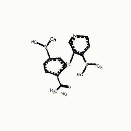 CC(=O)c1ccc(B(O)O)cc1.Cc1cnccc1B(O)O.Cl